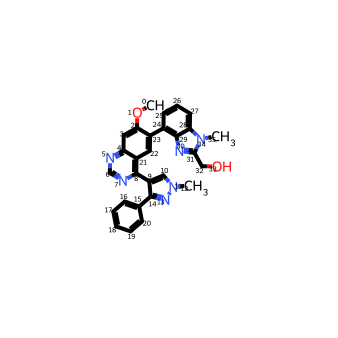 COc1cc2ncnc(-c3cn(C)nc3-c3ccccc3)c2cc1-c1cccc2c1nc(CO)n2C